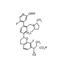 COc1cc(-c2ccc(C3CCc4ccc(C(C5CC5)[C@H](C)C(=O)O)c(F)c4O3)cc2CN2[C@H](C)CC[C@H]2C)c(F)cn1